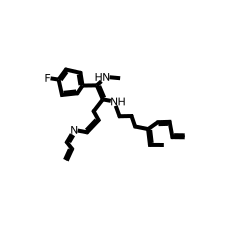 C=C/C=C\C(=C/C)CCCN/C(C/C=C\N=C/C=C)=C(\NC)c1ccc(F)cc1